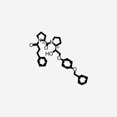 O=C(CCc1ccccc1)N1CCC[C@H]1C(=O)N1CCC[C@H]1C(O)COc1ccc(OCc2ccccc2)cc1